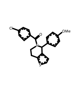 COc1ccc(C2c3ccsc3CCN2C(=O)c2ccc(Cl)cc2)cc1